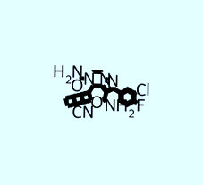 N#CC12C3C4C1C1C2C3C41C1c2c(C(N)=O)c(-c3ccc(F)c(Cl)c3)nn2CCN1C(N)=O